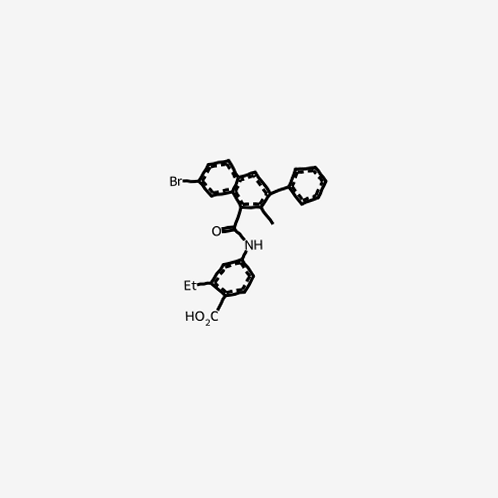 CCc1cc(NC(=O)c2c(C)c(-c3ccccc3)cc3ccc(Br)cc23)ccc1C(=O)O